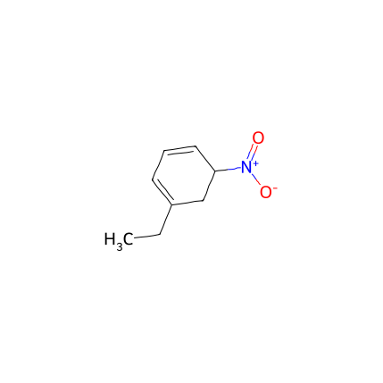 CCC1=CC=CC([N+](=O)[O-])C1